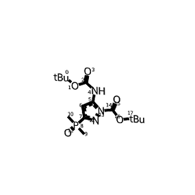 CC(C)(C)OC(=O)Nc1cc(P(C)(C)=O)nn1C(=O)OC(C)(C)C